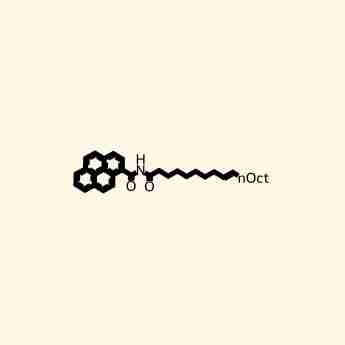 CCCCCCCCC=CCCCCCCCC(=O)NC(=O)c1ccc2ccc3cccc4ccc1c2c34